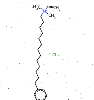 C=C[N+](C)(C)CCCCCCCCCCCCCc1ccccc1.[Cl-]